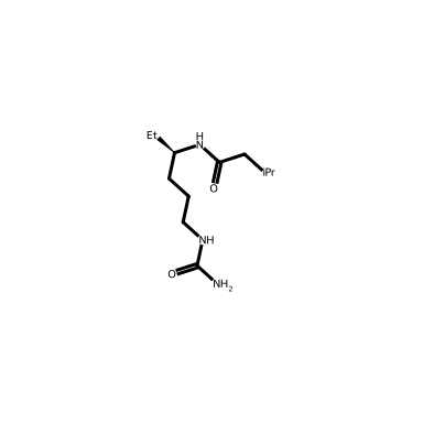 CC[C@H](CCCNC(N)=O)NC(=O)CC(C)C